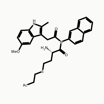 COc1ccc2[nH]c(C)c(CC(=O)N(C(=O)[C@@H](N)CCSCCC(C)=O)c3ccc4ccccc4c3)c2c1